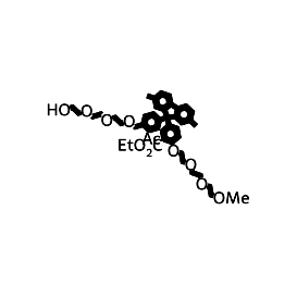 CCOC(=O)c1cc(C2(c3ccc(COCCOCCOCCO)c(C(C)=O)c3)c3cc(C)ccc3-c3ccc(C)cc32)ccc1OCCOCCOCCOC